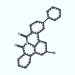 O=c1c2ccccc2c2cc(Br)cc3c4cc(-c5ccccc5)ccc4c(=O)n1c23